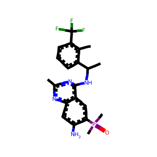 Cc1nc(NC(C)c2cccc(C(F)(F)F)c2C)c2cc(P(C)(C)=O)c(N)cc2n1